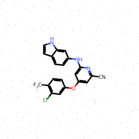 N#Cc1cc(Oc2ccc(C(F)(F)F)c(Cl)c2)cc(Nc2ccc3cc[nH]c3c2)n1